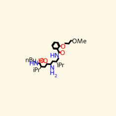 CCCCNC(=O)[C@@H](C[C@H](O)[C@@H](N)C[C@H](CNC(=O)c1ccccc1OCCCOC)C(C)C)C(C)C